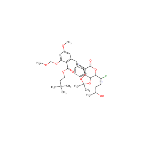 COCOc1cc(OC)cc(/C=C/C[C@@H]2OC(C)(C)OC2C(OC(=O)c2ccccc2)/C(F)=C\CC(C)O)c1C(=O)OCC[Si](C)(C)C